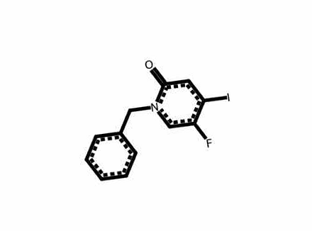 O=c1cc(I)c(F)cn1Cc1ccccc1